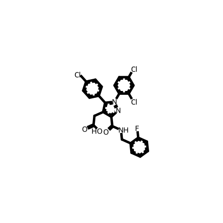 O=C(O)Cc1c(C(=O)NCc2ccccc2F)nn(-c2ccc(Cl)cc2Cl)c1-c1ccc(Cl)cc1